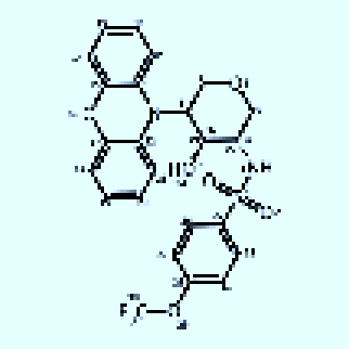 O=S(=O)(N[C@H]1COCC(N2c3ccccc3Oc3ccccc32)[C@@H]1O)c1ccc(OC(F)(F)F)cc1